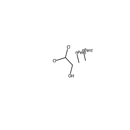 CCCCCC.CCCCCC.OCC(Cl)Cl